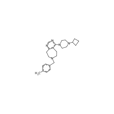 Cc1ccc(CN2CCc3ncnc(N4CCN(C5CCC5)CC4)c3CC2)cc1